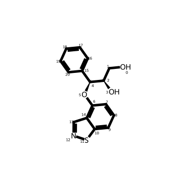 OC[C@@H](O)[C@@H](Oc1cccc2sncc12)c1ccccc1